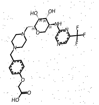 O=C(O)COc1ccc(CN2CCN(C[C@H]3OC[C@H](Nc4cncc(C(F)(F)F)n4)[C@@H](O)[C@H]3O)CC2)cc1